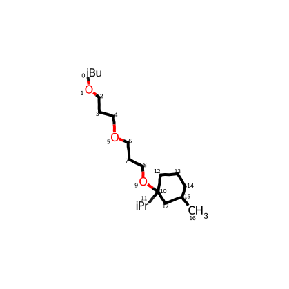 CCC(C)OCCCOCCCOC1(C(C)C)CCCC(C)C1